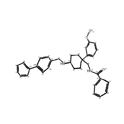 COc1cccc(C2(CNC(=O)c3ccccc3)CCC(NCc3ccc(-c4ccccc4)cc3)CC2)c1